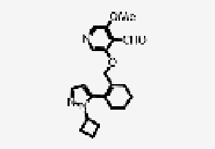 COc1cncc(OCC2=C(c3ccnn3C3CCC3)CCCC2)c1C=O